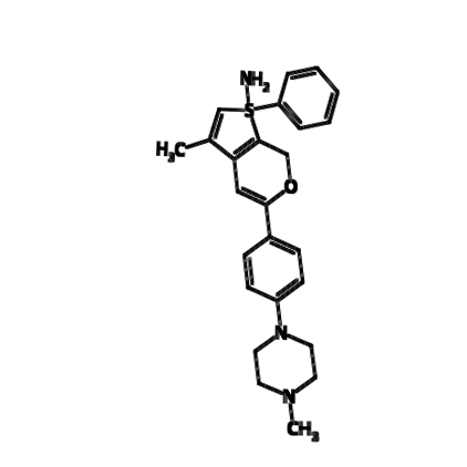 CC1=CS(N)(c2ccccc2)C2=C1C=C(c1ccc(N3CCN(C)CC3)cc1)OC2